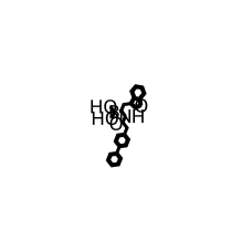 O=C(Cc1ccc(-c2ccccc2)cc1)NC(Cc1coc2ccccc12)B(O)O